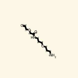 NCCCOCCCNC(=O)COCC=O